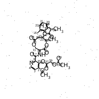 COc1ccnc(C(=O)N[C@H]2COC(=O)[C@H](Cc3ccccc3)[C@@H](OC(=O)C(C)C)[C@H](C)OC2=O)c1OC(=O)COC(C)=O